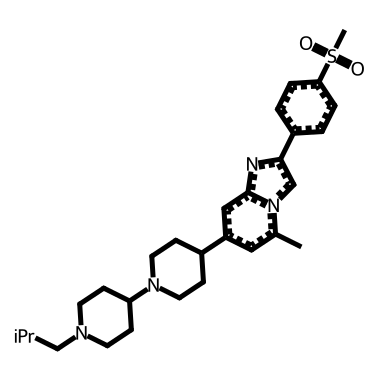 Cc1cc(C2CCN(C3CCN(CC(C)C)CC3)CC2)cc2nc(-c3ccc(S(C)(=O)=O)cc3)cn12